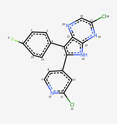 Fc1ccc(-c2c(-c3ccnc(Cl)c3)[nH]c3nc(Cl)cnc23)cc1